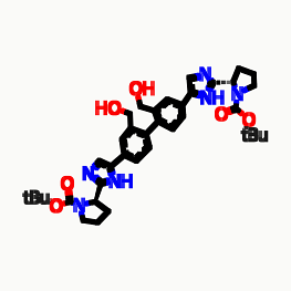 CC(C)(C)OC(=O)N1CCC[C@@H]1c1ncc(-c2ccc(-c3ccc(-c4cnc([C@@H]5CCCN5C(=O)OC(C)(C)C)[nH]4)cc3CO)c(CO)c2)[nH]1